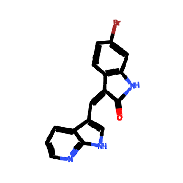 O=C1Nc2cc(Br)ccc2/C1=C/c1c[nH]c2ncccc12